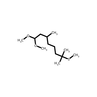 COC(CC(C)CCCC(C)(C)SC)OC